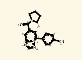 C[C@H]1CCCN1C(=O)c1cc(-c2ccc(C#N)cc2)n2ncnc2c1